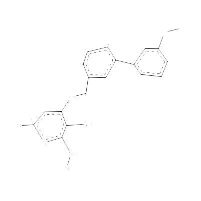 COc1cccc(-c2cccc(COc3cc(N)nc(NN)c3N)c2)c1